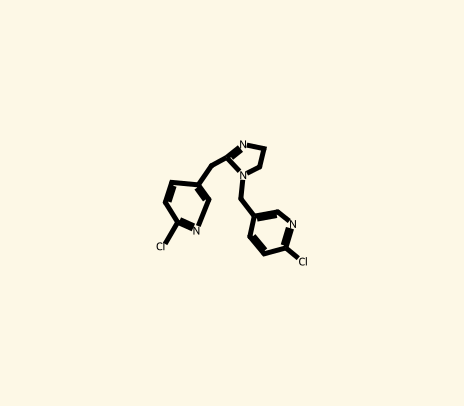 Clc1ccc(CC2=NCCN2Cc2ccc(Cl)nc2)cn1